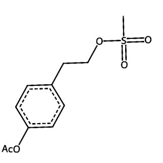 CC(=O)Oc1ccc(CCOS(C)(=O)=O)cc1